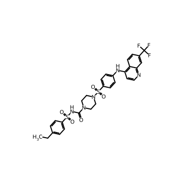 CCc1ccc(S(=O)(=O)NC(=O)N2CCN(S(=O)(=O)c3ccc(Nc4ccnc5cc(C(F)(F)F)ccc45)cc3)CC2)cc1